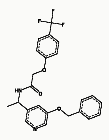 CC(NC(=O)COc1ccc(C(F)(F)F)cc1)c1cncc(OCc2ccccc2)c1